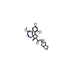 C=C1C(C(=O)NN2CC3CCCC3C2)=NN(c2ccc(Cl)cc2Cl)C12/C=C/C=C(OC)\C=C/C2